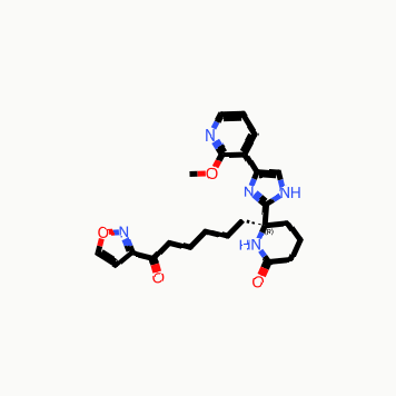 COc1ncccc1-c1c[nH]c([C@@]2(CCCCCC(=O)c3ccon3)CCCC(=O)N2)n1